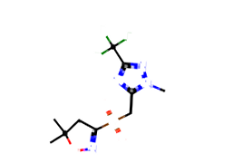 Cn1nc(C(F)(F)F)nc1CS(=O)(=O)C1=NOC(C)(C)C1